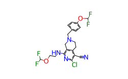 N#Cc1c(Cl)nc(NCCOC(F)F)c2c1CCN(Cc1ccc(OC(F)F)cc1)C2